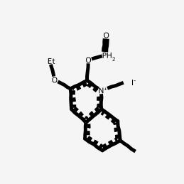 CCOc1cc2ccc(C)cc2[n+](C)c1O[PH2]=O.[I-]